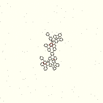 c1ccc(-c2ccc(N(c3ccc4c5ccccc5c5ccccc5c4c3)c3cc4c(cc3-c3cc5ccc(-c6ccc7c8ccc(N(c9cccc(-c%10ccccc%10)c9)c9cc%10c(cc9-c9cc%11ccccc%11c%11ccccc9%11)-c9ccccc9C%109c%10ccccc%10-c%10ccccc%109)cc8c8ccccc8c7c6)cc5c5ccccc35)-c3ccccc3C43c4ccccc4-c4ccccc43)cc2)cc1